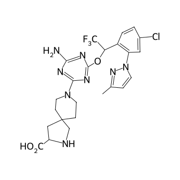 Cc1ccn(-c2cc(Cl)ccc2C(Oc2nc(N)nc(N3CCC4(CC3)CNC(C(=O)O)C4)n2)C(F)(F)F)n1